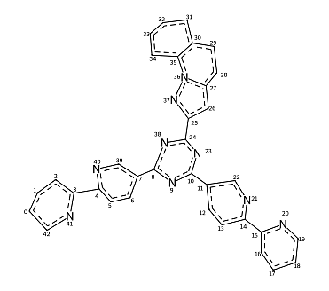 c1ccc(-c2ccc(-c3nc(-c4ccc(-c5ccccn5)nc4)nc(-c4cc5ccc6ccccc6n5n4)n3)cn2)nc1